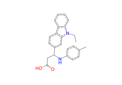 CCn1c2ccccc2c2ccc(C(CC(=O)O)Nc3ccc(C)cc3)cc21